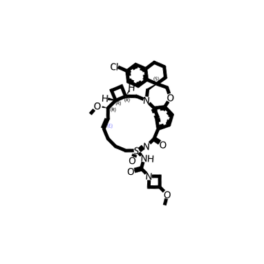 COC1CN(C(=O)NS2(=O)=NC(=O)c3ccc4c(c3)N(C[C@@H]3CC[C@H]3[C@@H](OC)/C=C/CCC2)C[C@@]2(CCCc3cc(Cl)ccc32)CO4)C1